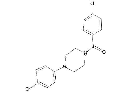 O=C(c1ccc(Cl)cc1)N1CCN(c2ccc(Cl)cc2)CC1